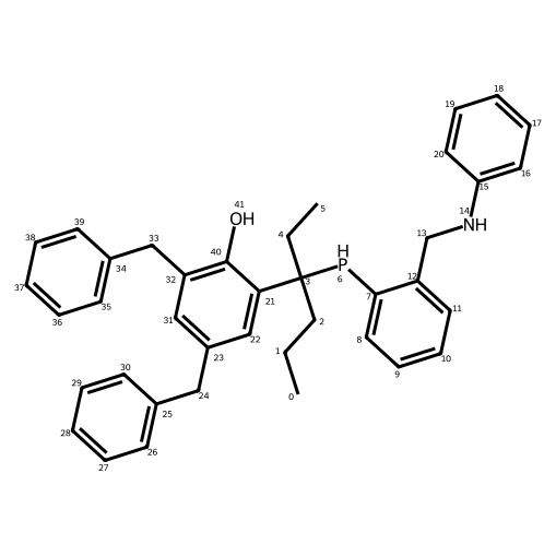 CCCC(CC)(Pc1ccccc1CNc1ccccc1)c1cc(Cc2ccccc2)cc(Cc2ccccc2)c1O